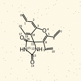 C=C/C=C1/OC(C=C)=C(C=C)C2(NC(=O)NC2=O)/C1=C/C